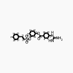 N=C(N)Nc1ccc(C(=O)Oc2cccc(OS(=O)(=O)C=Cc3ccccc3)c2)cc1